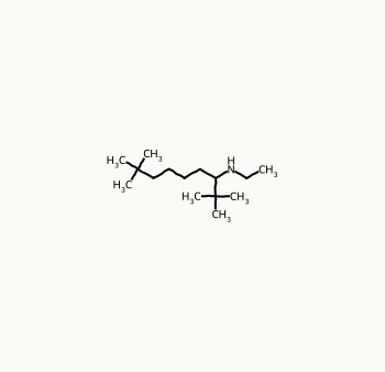 CCNC(CCCCC(C)(C)C)C(C)(C)C